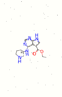 CCOC(=O)c1c[nH]c2ncnc(N[C@@H]3CCCNC3)c12